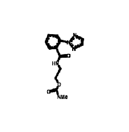 CNC(=O)OCCNC(=O)c1ccccc1-n1nccn1